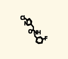 O=C(Cc1ccc(Cl)nc1)NCc1cccc(F)c1